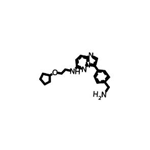 NCc1ccc(-c2cnc3ccc(NCCOC4CCCC4)nn23)cc1